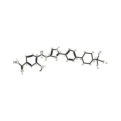 COc1cc(C(=O)O)ccc1NSc1csc(-c2ccc(C3CCC(C(F)(F)F)CC3)cc2)n1